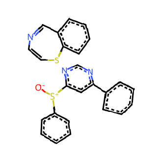 C1=CSc2ccccc2C=N1.[O-][S+](c1ccccc1)c1cc(-c2ccccc2)ncn1